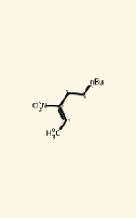 CC=C(CCCCCC)[N+](=O)[O-]